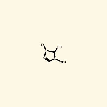 CCN1N=CN(C(C)(C)C)C1C#N